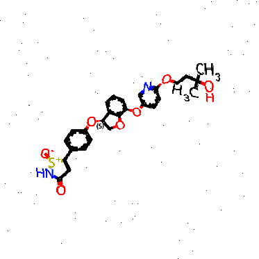 CC(C)(O)CCOc1ccc(Oc2cccc3c2OC[C@H]3Oc2ccc(C3CC(=O)N[S+]3[O-])cc2)cn1